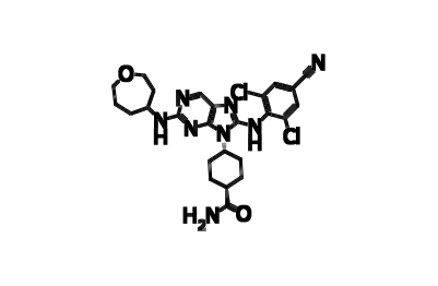 N#Cc1cc(Cl)c(Nc2nc3cnc(NC4CCCOCC4)nc3n2[C@H]2CC[C@H](C(N)=O)CC2)c(Cl)c1